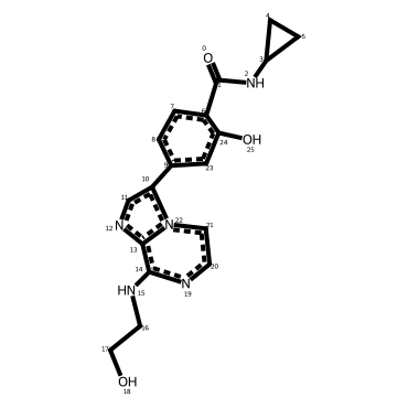 O=C(NC1CC1)c1ccc(-c2cnc3c(NCCO)nccn23)cc1O